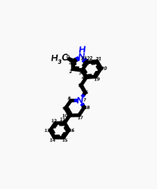 Cc1cc2c(CCN3CC=C(c4ccccc4)CC3)cccc2[nH]1